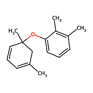 CC1=CC=CC(C)(Oc2cccc(C)c2C)C1